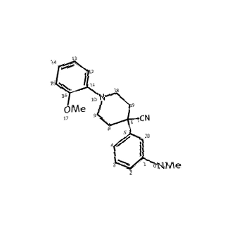 CNc1cccc(C2(C#N)CCN(c3ccccc3OC)CC2)c1